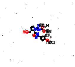 CCCCCCCCOc1ccc(-c2noc([C@@H]3[C@@H](CO)CCN3/C(=N/C(=O)O)NC(=O)OC(C)(C)C)n2)cc1C(F)(F)F